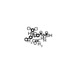 CCOC(C)=O.O=C(NCC(O)C(=O)O)c1ccc(CN(C(=O)Nc2cc(Cl)cc(Cl)c2)c2ccc(C3=CCCCC3)cc2)cc1